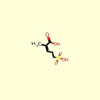 CC(=CC[CH]S(=O)(=O)O)C(=O)O